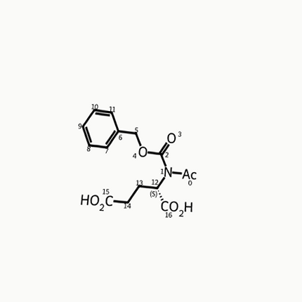 CC(=O)N(C(=O)OCc1ccccc1)[C@@H](CCC(=O)O)C(=O)O